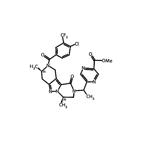 COC(=O)c1cnc(C(C)N2C[C@@H](C)n3nc4c(c3C2=O)CN(C(=O)c2ccc(Cl)c(C(F)(F)F)c2)[C@H](C)C4)cn1